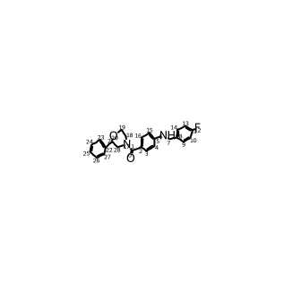 O=C(c1ccc(NCc2ccc(F)cc2)cc1)N1CCOC(c2ccccc2)C1